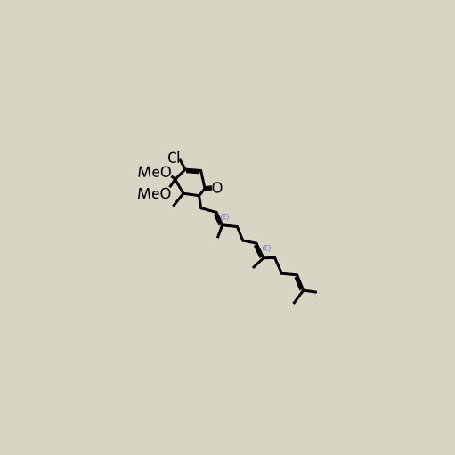 COC1(OC)C(Cl)=CC(=O)C(C/C=C(\C)CC/C=C(\C)CCC=C(C)C)C1C